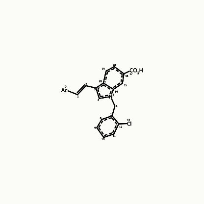 CC(=O)/C=C/c1cn(Cc2ccccc2Cl)c2cc(C(=O)O)ccc12